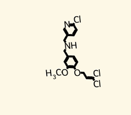 COc1cc(CNCc2ccc(Cl)nc2)ccc1OCC=C(Cl)Cl